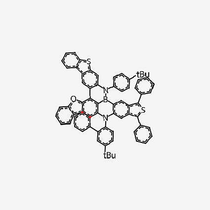 CC(C)(C)c1ccc(N2B3c4cc5c(-c6ccccc6)sc(-c6ccccc6)c5cc4N(c4ccc(C(C)(C)C)cc4-c4ccccc4)c4cc5c(oc6ccccc65)c(c43)-c3cc4c(cc32)sc2ccccc24)cc1